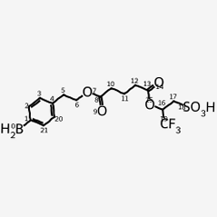 Bc1ccc(CCOC(=O)CCCC(=O)OC(CS(=O)(=O)O)C(F)(F)F)cc1